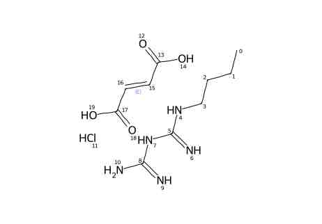 CCCCNC(=N)NC(=N)N.Cl.O=C(O)/C=C/C(=O)O